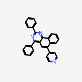 c1ccc(-c2nc(-c3ccccc3)c3cc(-c4ccncc4)c4ccccc4c3n2)cc1